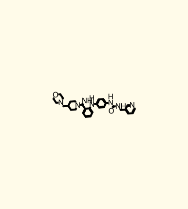 N=C(c1ccccc1Nc1ccc(NC(=O)NCc2cccnc2)cc1)N1CCC(CN2CCOCC2)CC1